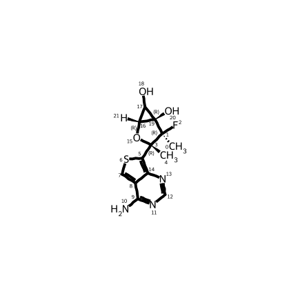 C[C@]1(F)[C@](C)(c2scc3c(N)ncnc23)O[C@@H]2C(O)[C@@]21O